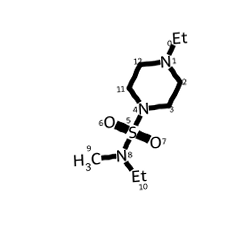 CCN1CCN(S(=O)(=O)N(C)CC)CC1